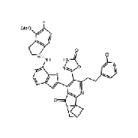 COc1c(F)ccc2c1CC[C@H]2Nc1nccc2cc(-c3c4c(nc(CCc5cccc(Cl)c5)c3-c3n[nH]c(=O)o3)C35CC(CN3C4=O)C5)sc12